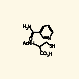 CC(=O)NC(CS)C(=O)O.NC(=O)c1cccnc1